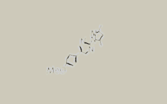 COc1ccc(-c2cnc(-n3nc(C)cc3C)nc2)cc1